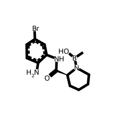 CB(O)N1CCCC[C@H]1C(=O)Nc1cc(Br)ccc1N